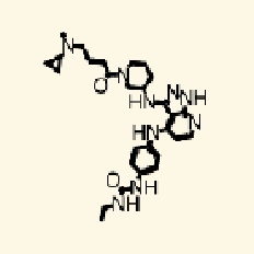 CCNC(=O)Nc1ccc(Nc2ccnc3[nH]nc(N[C@@H]4CCCN(C(=O)/C=C/CN(C)C5CC5)C4)c23)cc1